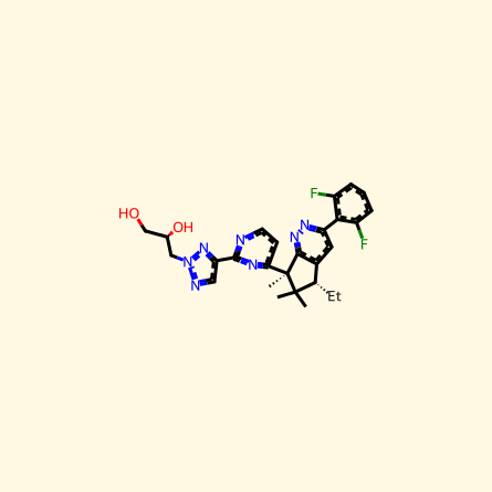 CC[C@H]1c2cc(-c3c(F)cccc3F)nnc2[C@](C)(c2ccnc(-c3cnn(C[C@H](O)CO)n3)n2)C1(C)C